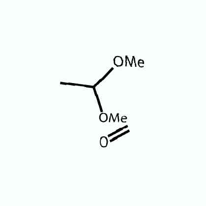 C=O.COC(C)OC